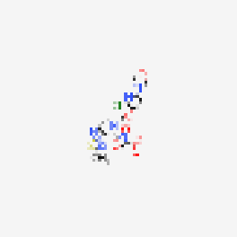 Cc1nn2c3c(nc2s1)CCN(C(=O)COc1ccc(N2CCOCC2)nc1Cl)C3c1nc(C(=O)O)co1